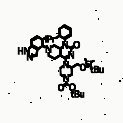 Cc1ccc2[nH]ncc2c1N1CCc2c(N3CCN(C(=O)OC(C)(C)C)CC3CO[Si](C)(C)C(C)(C)C)nc(=O)n(-c3ccccc3C(C)C)c2C1